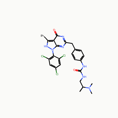 CC(C)c1[nH]n(-c2c(Cl)cc(Cl)cc2Cl)c2nc(Cc3ccc(NC(=O)NCC(C)N(C)C)cc3)nc(=O)c1-2